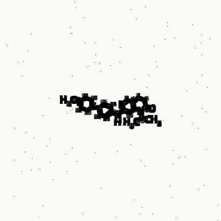 CC(C)N1C(=O)CCc2cnc(Nc3ccc(N4CCN(C)CC4)cc3)cc21